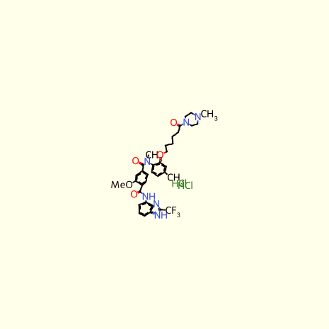 COc1cc(C(=O)N(C)c2ccc(C)cc2OCCCCCC(=O)N2CCN(C)CC2)ccc1C(=O)Nc1cccc2[nH]c(C(F)(F)F)nc12.Cl.Cl